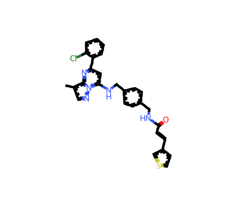 Cc1cnn2c(NCc3ccc(CNC(=O)/C=C/c4ccsc4)cc3)cc(-c3ccccc3Cl)nc12